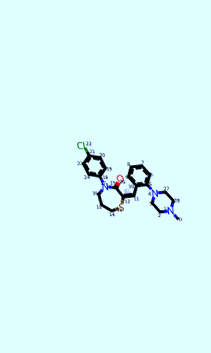 CN1CCN(c2ccccc2/C=C2/SCCCN(c3ccc(Cl)cc3)C2=O)CC1